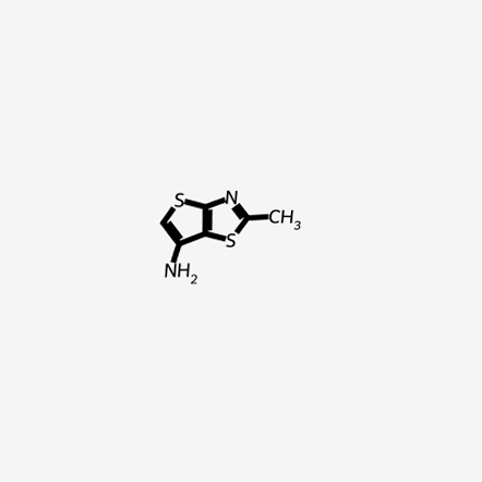 Cc1nc2scc(N)c2s1